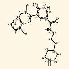 Cc1cccc(CN(C)C(=O)c2cc(C(=O)NCCCC3CCNCC3)c[nH]c2=O)c1